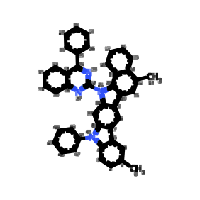 Cc1ccc2c(c1)c1cc3c4cc(C)c5ccccc5c4n(-c4nc(-c5ccccc5)c5ccccc5n4)c3cc1n2-c1ccccc1